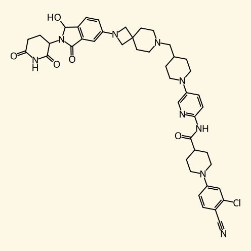 N#Cc1ccc(N2CCC(C(=O)Nc3ccc(N4CCC(CN5CCC6(CC5)CN(c5ccc7c(c5)C(=O)N(C5CCC(=O)NC5=O)C7O)C6)CC4)cn3)CC2)cc1Cl